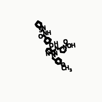 COc1ccc(Cn2nc(N[C@@H]3CCCN(C(=O)O)C3)c3c(Oc4ccc(C(=O)Nc5nc6ccccc6s5)cc4)ccnc32)cc1